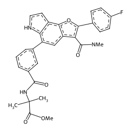 CNC(=O)c1c(-c2ccc(F)cc2)oc2c1cc(-c1cccc(C(=O)NC(C)(C)C(=O)OC)c1)c1[nH]ccc12